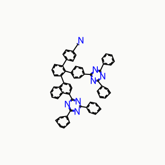 N#Cc1ccc(-c2cccc(-c3ccc(-c4nc(-c5ccccc5)nc(-c5ccccc5)n4)c4ccccc34)c2-c2ccc(-c3nc(-c4ccccc4)nc(-c4ccccc4)n3)cc2)cc1